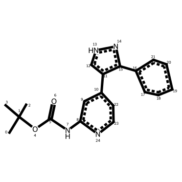 CC(C)(C)OC(=O)Nc1cc(-c2c[nH]nc2-c2ccccc2)ccn1